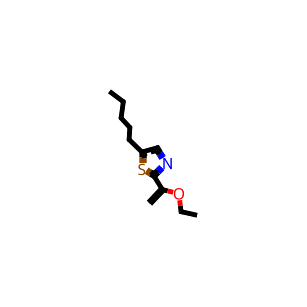 C=C(OCC)c1ncc(CCCCC)s1